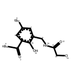 CCCCC(=O)c1cc(C(C)(C)C)cc(CNC(=O)CCl)c1O